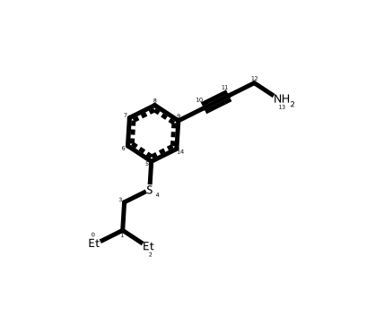 CCC(CC)CSc1cccc(C#CCN)c1